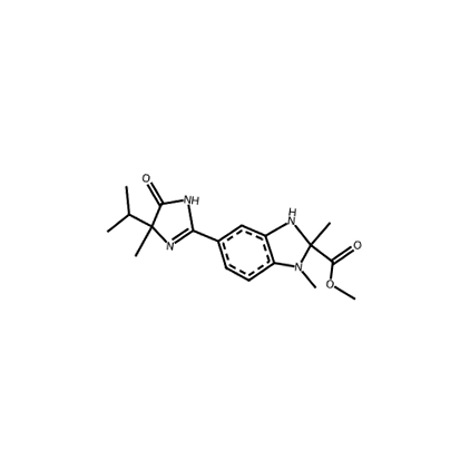 COC(=O)C1(C)Nc2cc(C3=NC(C)(C(C)C)C(=O)N3)ccc2N1C